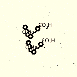 COc1ccccc1/C=C1\CCc2cccc(CCc3ccc(C(=O)O)cc3)c21.COc1ccccc1CC1=CCc2cccc(CCc3ccc(C(=O)O)cc3)c21